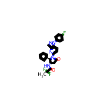 CC(F)(F)C(=O)NC1CC(=O)N(c2ccc3c(cnn3-c3ccc(F)cc3)n2)[C@@H]1c1ccccc1